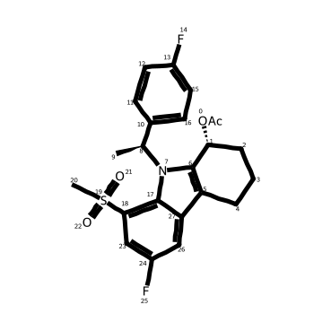 CC(=O)O[C@@H]1CCCc2c1n([C@@H](C)c1ccc(F)cc1)c1c(S(C)(=O)=O)cc(F)cc21